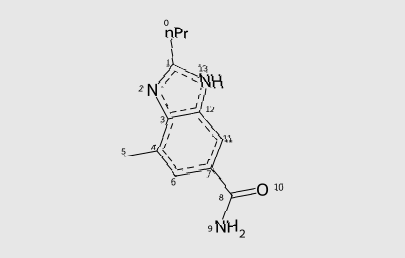 CCCc1nc2c(C)cc(C(N)=O)cc2[nH]1